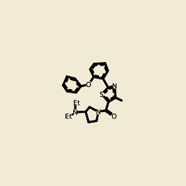 CCN(CC)C1CCN(C(=O)c2sc(-c3ccccc3Oc3ccccc3)nc2C)C1